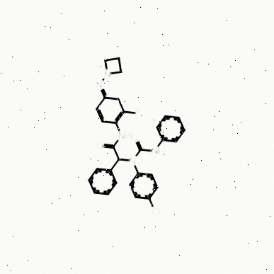 O=C(NC1=C(F)CC(=NN2CCC2)C=C1)C(c1ccccc1)N(C(=O)Nc1ccccc1)c1ccc(Cl)cc1